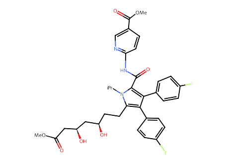 COC(=O)C[C@H](O)C[C@H](O)CCc1c(-c2ccc(F)cc2)c(-c2ccc(F)cc2)c(C(=O)Nc2ccc(C(=O)OC)cn2)n1C(C)C